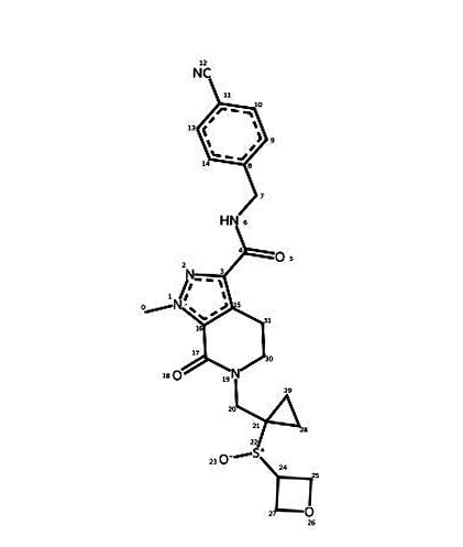 Cn1nc(C(=O)NCc2ccc(C#N)cc2)c2c1C(=O)N(CC1([S+]([O-])C3COC3)CC1)CC2